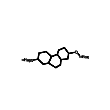 CCCCCCCC1CCC2C(CCC3CC(OCCCCCC)CCC32)C1